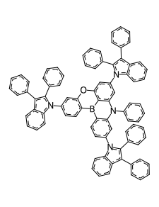 c1ccc(-c2c(-c3ccccc3)n(-c3ccc4c(c3)Oc3cc(-n5c(-c6ccccc6)c(-c6ccccc6)c6ccccc65)cc5c3B4c3ccc(-n4c(-c6ccccc6)c(-c6ccccc6)c6ccccc64)cc3N5c3ccccc3)c3ccccc23)cc1